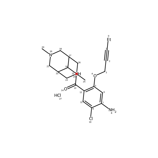 CCC#CCOc1cc(N)c(Cl)cc1C(=O)NC1C2CN(C)CC1CN(C)C2.Cl